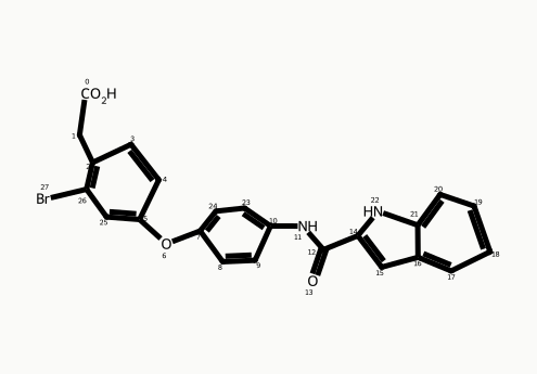 O=C(O)Cc1ccc(Oc2ccc(NC(=O)c3cc4ccccc4[nH]3)cc2)cc1Br